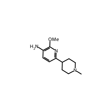 COc1nc(C2CCN(C)CC2)ccc1N